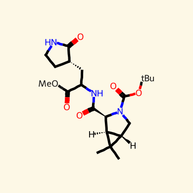 COC(=O)C(C[C@@H]1CCNC1=O)NC(=O)[C@@H]1[C@H]2[C@H](CN1C(=O)OC(C)(C)C)C2(C)C